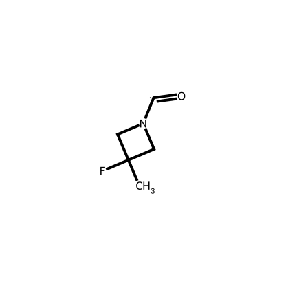 CC1(F)CN([C]=O)C1